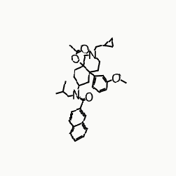 COc1cccc(C23CCN(CC4CC4)CC2(OC(C)=O)CCC(N(CC(C)C)C(=O)c2ccc4ccccc4c2)C3)c1